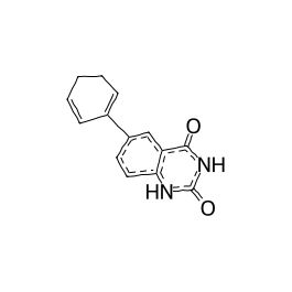 O=c1[nH]c(=O)c2cc(C3=CCCC=C3)ccc2[nH]1